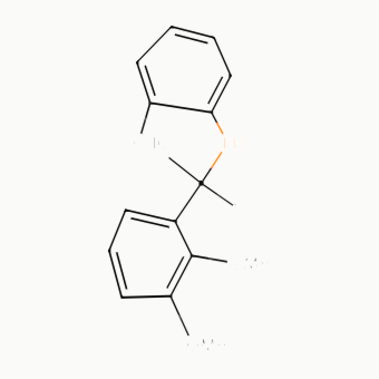 CCC(C)(Pc1ccccc1C=O)c1cccc(OC)c1OC